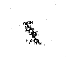 Cc1cnc(C(=O)O)cc1Cc1ccc(-c2cn(C)nc2C)cc1